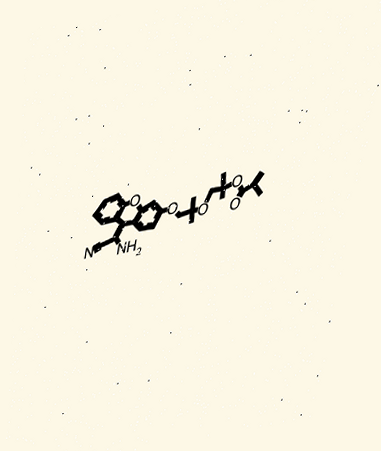 C=C(C)C(=O)OC(C)(C)COC(C)(C)COc1ccc2c(c1)Oc1ccccc1/C2=C(/N)C#N